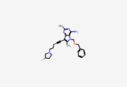 CCCCc1nc(N)c2c(n1)c(C#CCCCN1CC[C@@H](F)C1)c(C)n2COCc1ccccc1